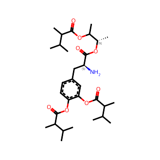 CC(C)C(C)C(=O)Oc1ccc(C[C@H](N)C(=O)O[C@@H](C)C(C)OC(=O)C(C)C(C)C)cc1OC(=O)C(C)C(C)C